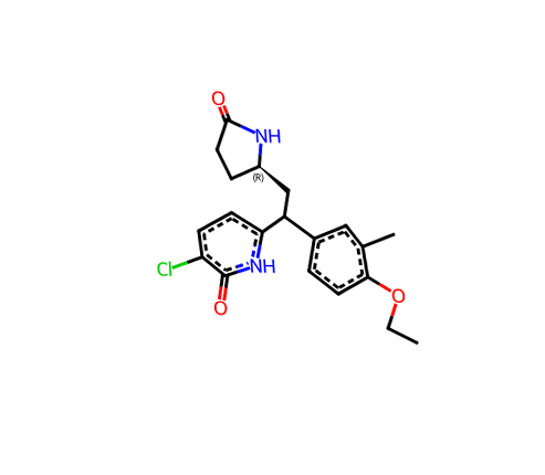 CCOc1ccc(C(C[C@H]2CCC(=O)N2)c2ccc(Cl)c(=O)[nH]2)cc1C